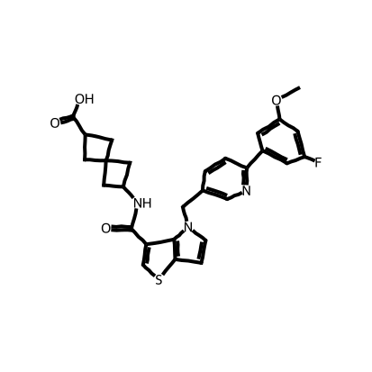 COc1cc(F)cc(-c2ccc(Cn3ccc4scc(C(=O)NC5CC6(C5)CC(C(=O)O)C6)c43)cn2)c1